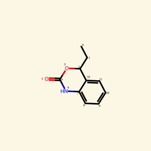 CCC1OC(=O)Nc2ccccc21